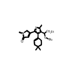 CCOC(=O)C(OC(C)(C)C)c1c(C)sc(C2=CC(=O)N(C)C2)c1C1=CCC(C)(C)CC1